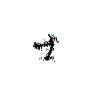 CCCCCC[C@](C)(O)[C@H]1CC[C@H]2[C@@H]3C[C@H](OC(=O)CCC(=O)NCCOCCOCC(=O)Nc4ccc(OC)c(C(N)=O)c4O)[C@H]4C[C@@H](OC(=O)CCC(=O)NCCOCCOCC(=O)Nc5ccc(OC)c(C(N)=O)c5O)CC[C@]4(C)[C@H]3CC[C@@]21C